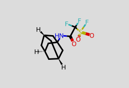 O=C(NC12C[C@H]3C[C@@H](C1)C[C@@H](C2)C3)C(F)(F)S(=O)(=O)F